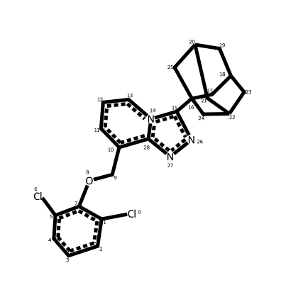 Clc1cccc(Cl)c1OCc1cccn2c(C34CC5CC(CC(C5)C3)C4)nnc12